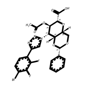 CC(=O)O[C@@H]1[C@@H](n2cc(-c3ccc(Br)c(F)c3F)nn2)[C@H]2O[C@@H](c3ccccc3)OC[C@H]2O[C@H]1C(=O)O